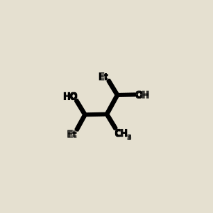 CCC(O)C(C)C(O)CC